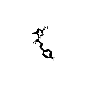 CCc1cc(C)n(C(=O)/C=C/c2ccc(F)cc2)n1